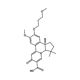 COCCCOc1cc2c(cc1OC)-c1cc(=O)c(C(=O)O)cn1C1[C@H]2CCC1(C)C